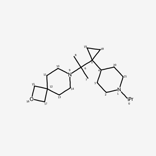 CC(C)N1CCC(C2(C(C)(C)N3CCC4(CC3)COC4)CC2)CC1